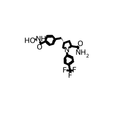 NC(=O)C1C[C@@H](Cc2ccc(C(=O)NO)cc2)CN1c1ccc(C(F)(F)F)cc1